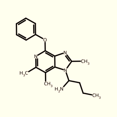 CCCC(N)n1c(C)nc2c(Oc3ccccc3)nc(C)c(C)c21